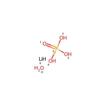 O.O=P(O)(O)O.[LiH]